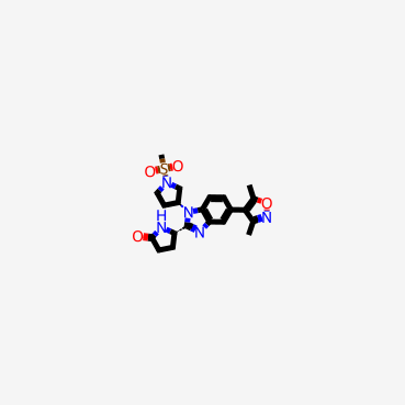 Cc1noc(C)c1-c1ccc2c(c1)nc([C@@H]1CCC(=O)N1)n2[C@@H]1CCN(S(C)(=O)=O)C1